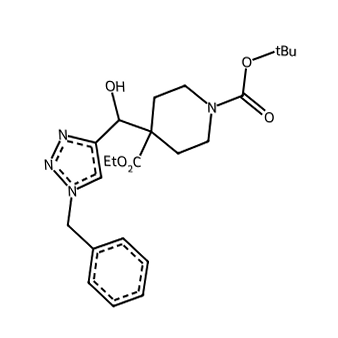 CCOC(=O)C1(C(O)c2cn(Cc3ccccc3)nn2)CCN(C(=O)OC(C)(C)C)CC1